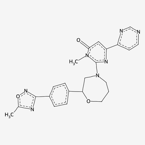 Cc1nc(-c2ccc(C3CN(c4nc(-c5ccncn5)cc(=O)n4C)CCCO3)cc2)no1